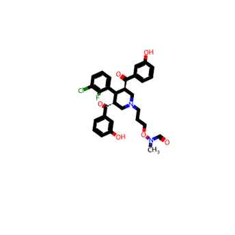 CN(C=O)OCCCN1C[C@H](C(=O)c2cccc(O)c2)C(c2cccc(Cl)c2F)[C@@H](C(=O)c2cccc(O)c2)C1